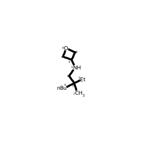 CCCCC(C)(CC)CNC1COC1